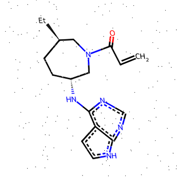 C=CC(=O)N1C[C@H](CC)CC[C@@H](Nc2ncnc3[nH]ccc23)C1